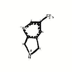 FC(F)(F)c1cnc2c(c1)CNC2